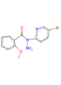 COc1ccccc1C(=O)N(N)c1ccc(Br)cn1